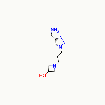 NCc1cn(CCCN2CC(O)C2)nn1